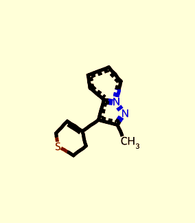 Cc1nn2ccccc2c1C1=CCSCC1